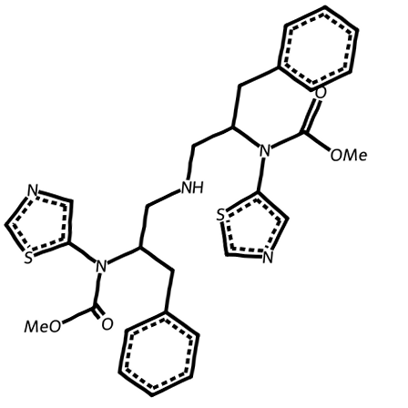 COC(=O)N(c1cncs1)C(CNCC(Cc1ccccc1)N(C(=O)OC)c1cncs1)Cc1ccccc1